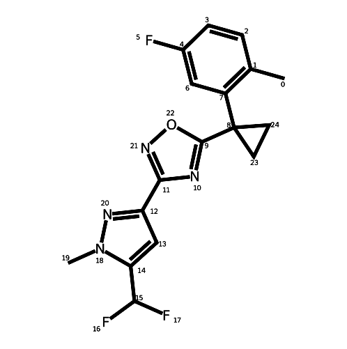 Cc1ccc(F)cc1C1(c2nc(-c3cc(C(F)F)n(C)n3)no2)CC1